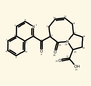 O=C(c1nccc2ccccc12)C1CC=CCC2CCC(C(=O)O)N2C1=O